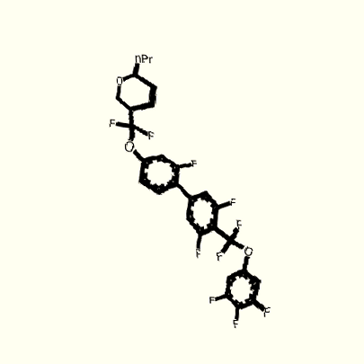 CCCC1CCC(C(F)(F)Oc2ccc(-c3cc(F)c(C(F)(F)Oc4cc(F)c(F)c(F)c4)c(F)c3)c(F)c2)CO1